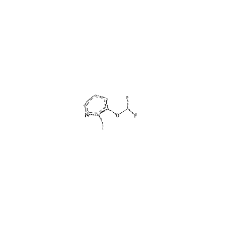 Cc1n[c]ccc1OC(F)F